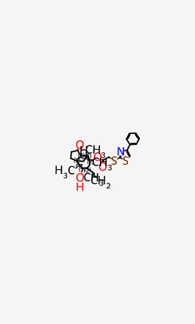 C=C[C@]1(C)C[C@@H](OC(=O)CSc2nc(-c3ccccc3)cs2)[C@]2(C)[C@H](C)CC[C@]3(CCC(=O)[C@H]32)[C@@H](C)[C@@H]1O